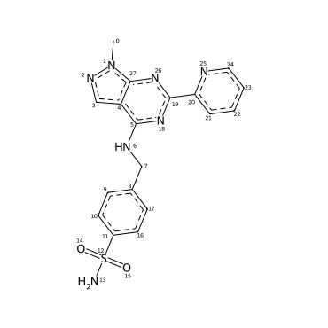 Cn1ncc2c(NCc3ccc(S(N)(=O)=O)cc3)nc(-c3ccccn3)nc21